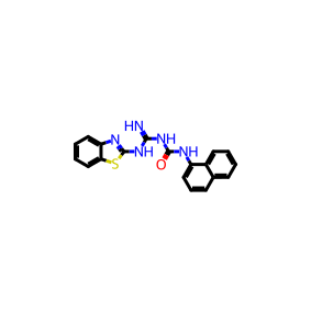 N=C(NC(=O)Nc1cccc2ccccc12)Nc1nc2ccccc2s1